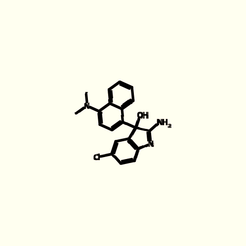 CN(C)c1ccc(C2(O)C(N)=Nc3ccc(Cl)cc32)c2ccccc12